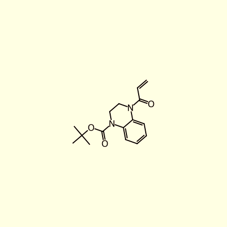 C=CC(=O)N1CCN(C(=O)OC(C)(C)C)c2ccccc21